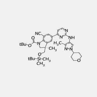 Cc1nn(C2CCOCC2)cc1Nc1nccc(-c2cc(C#N)c3c(c2)[C@@](C)(CO[Si](C)(C)C(C)(C)C)CN3C(=O)OC(C)(C)C)n1